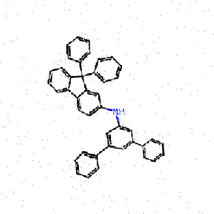 c1ccc(-c2cc(Nc3ccc4c(c3)C(c3ccccc3)(c3ccccc3)c3ccccc3-4)cc(-c3ccccc3)c2)cc1